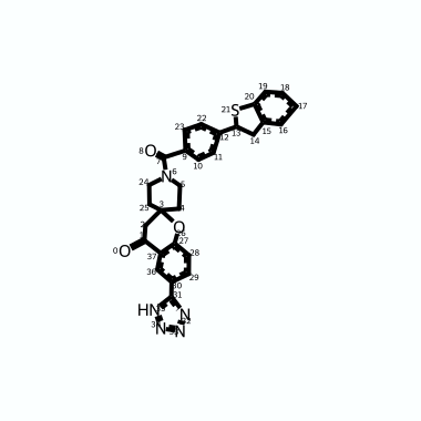 O=C1CC2(CCN(C(=O)c3ccc(C4Cc5ccccc5S4)cc3)CC2)Oc2ccc(-c3nnn[nH]3)cc21